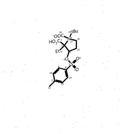 CCC1(C(=O)O)C(OS(=O)(=O)c2ccc(C)cc2)CC[N+]1(C(=O)[O-])C(C)(C)C